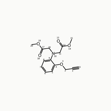 C#CCOc1ccccc1N(CC(=O)OC)CC(=O)OC